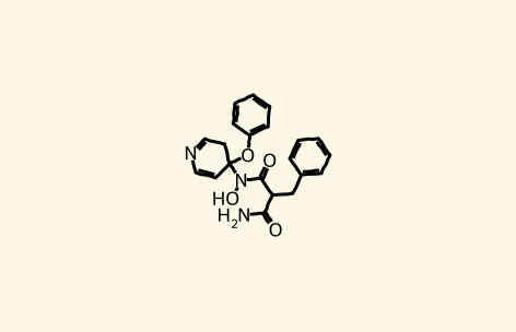 NC(=O)C(Cc1ccccc1)C(=O)N(O)C1(Oc2ccccc2)C=CN=CC1